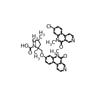 CC(C)CC(C)(COc1ccc2c3ccncc3c(=O)n(C)c2c1)NC(=O)O.Cn1c(=O)c2cnccc2c2ccc(Cl)cc21